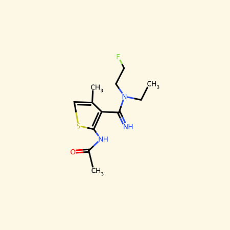 CCN(CCF)C(=N)c1c(C)csc1NC(C)=O